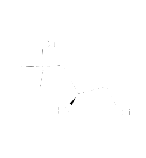 CC(C)(C)[Si](C)(C)C[C@H](N)CO